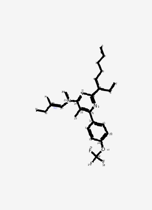 CCCCCC(CC)c1nc(-c2ccc(OC(F)(F)F)cc2)c(C)c(N(C)/C=C(\C)CC)n1